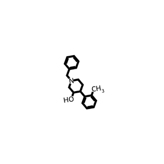 Cc1ccccc1C1CCN(Cc2ccccc2)CC1O